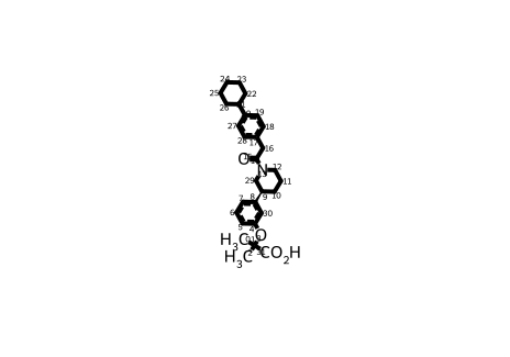 CC(C)(Oc1cccc([C@@H]2CCCN(C(=O)Cc3ccc(C4CCCCC4)cc3)C2)c1)C(=O)O